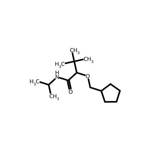 CC(C)NC(=O)C(OCC1CCCC1)C(C)(C)C